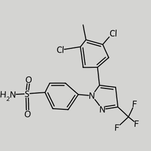 Cc1c(Cl)cc(-c2cc(C(F)(F)F)nn2-c2ccc(S(N)(=O)=O)cc2)cc1Cl